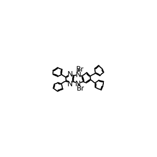 BrN1c2cc(-c3ccccc3)c(-c3ccccc3)cc2N(Br)c2nc(-c3ccccc3)c(-c3ccccc3)nc21